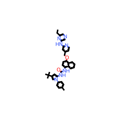 CCc1cncc(Nc2cc(COc3ccc(NC(=O)Nc4cc(C(C)(C)C)cn4-c4ccc(C)cc4)c4ccccc34)ccn2)n1